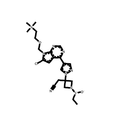 CC[S+]([O-])N1CC(CC#N)(n2cc(-c3ncnc4c3cc(Cl)n4COCC[Si](C)(C)C)cn2)C1